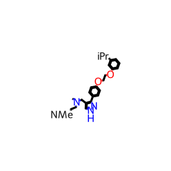 CNCCN(C)Cc1c[nH]nc1-c1ccc(OCCOc2cccc(C(C)C)c2)cc1